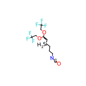 O=C=NCCC[SiH2]C=C(OCC(F)(F)F)OCC(F)(F)F